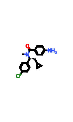 CN(C(=O)c1ccc(N)cc1)[C@H](CC1CC1)c1ccc(Cl)cc1